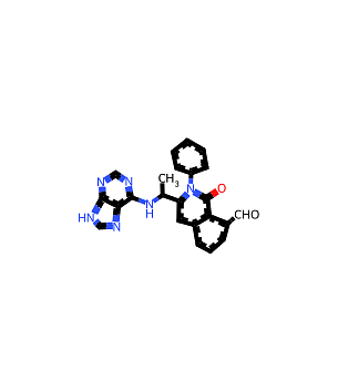 CC(Nc1ncnc2[nH]cnc12)c1cc2cccc(C=O)c2c(=O)n1-c1ccccc1